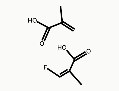 C=C(C)C(=O)O.CC(=CF)C(=O)O